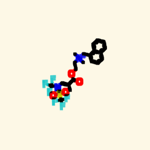 CC(=CN(C(F)(F)F)S(=O)(=O)C(F)(F)F)C(=O)OCC[N+](C)(C)Cc1cccc2ccccc12